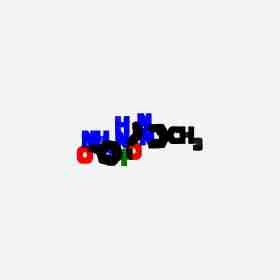 Cc1ccn2c(C(=O)Nc3cc(C(N)=O)ccc3F)cnc2c1